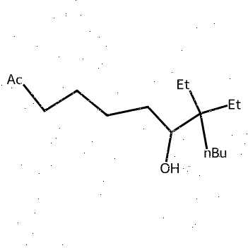 CCCCC(CC)(CC)C(O)CCCCC(C)=O